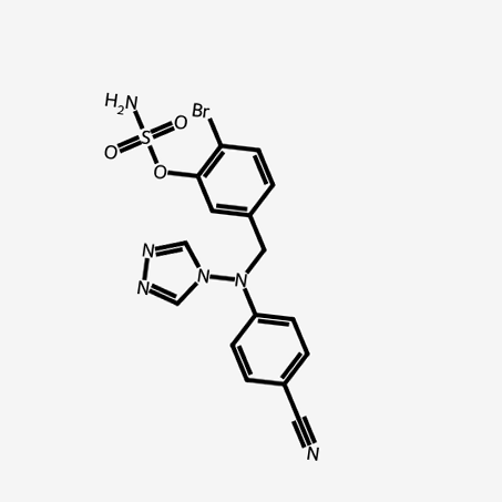 N#Cc1ccc(N(Cc2ccc(Br)c(OS(N)(=O)=O)c2)n2cnnc2)cc1